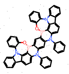 c1ccc(N2c3cc4c(cc3B3Oc5ccccc5-n5c6ccccc6c6ccc2c3c65)B2Oc3ccccc3-n3c5ccccc5c5ccc(c2c53)N4c2ccccc2)cc1